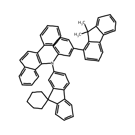 CC1(C)c2ccccc2-c2cccc(-c3cccc(N(c4ccc5c(c4)C4(CCCCC4)c4ccccc4-5)c4c(-c5ccccc5)ccc5ccccc45)c3)c21